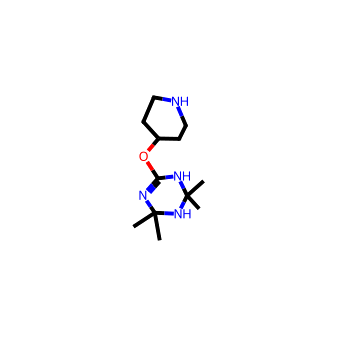 CC1(C)N=C(OC2CCNCC2)NC(C)(C)N1